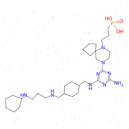 Nc1nc(NCC2CCC(CNCCCNC3CCCCC3)CC2)nc(N2CCN(CCCP(=O)(O)O)C3(CCCC3)C2)n1